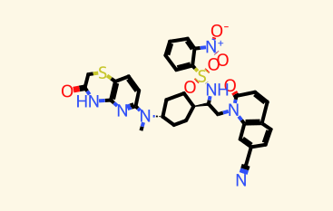 CN(c1ccc2c(n1)NC(=O)CS2)[C@H]1CC[C@H](C(Cn2c(=O)ccc3ccc(C#N)cc32)NS(=O)(=O)c2ccccc2[N+](=O)[O-])CC1